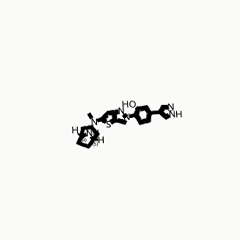 CN(c1cc2nn(-c3ccc(-c4cn[nH]c4)cc3O)cc2s1)[C@@H]1C[C@H]2CC[C@@H](C1)N2